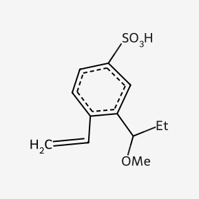 C=Cc1ccc(S(=O)(=O)O)cc1C(CC)OC